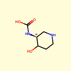 O=C(O)N[C@H]1CNCCC1O